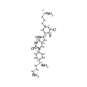 C[C@H](N)CCCc1cc(Cl)c(F)c(-c2cc3cn(-c4ccc([C@H](N)CCCN)cc4)c(=O)nc3[nH]2)c1